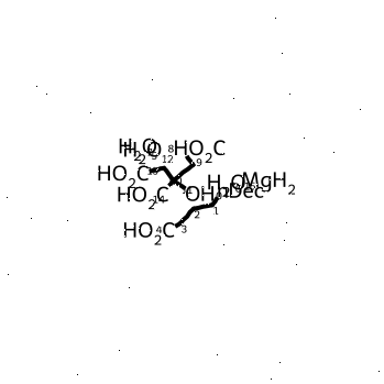 CCCCCCCCCCCCCC(=O)O.O.O.O.O=C(O)CC(O)(CC(=O)O)C(=O)O.[MgH2]